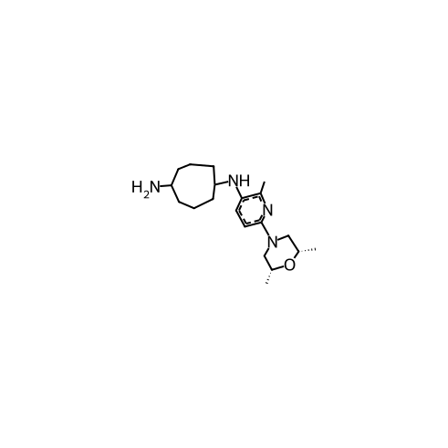 Cc1nc(N2C[C@@H](C)O[C@@H](C)C2)ccc1NC1CCCC(N)CCC1